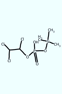 C[Si](C)(C)OP(=O)(O)OC(Cl)C(Cl)Cl